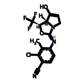 Cc1c(/N=C2\O[C@H](C(F)(F)F)[C@H]3C(O)=CCN23)ccc(C#N)c1Cl